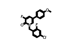 COc1ccc(-c2cc(F)c(=O)n(Cc3ccc(Cl)cc3F)c2)cc1